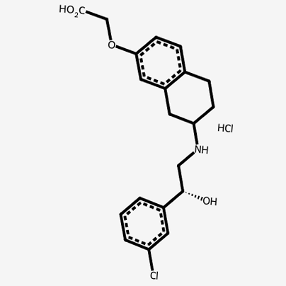 Cl.O=C(O)COc1ccc2c(c1)CC(NC[C@H](O)c1cccc(Cl)c1)CC2